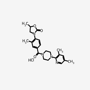 Cc1cnc(N2CCN(C(=O)c3ccc(N4CC(C)OC4=O)c(C)c3)CC2)c(C)c1.Cl